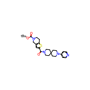 CC(C)(C)OC(=O)N1CCc2sc(C(=O)N3CCC4(CC3)CCN(c3ccncc3)CC4)cc2C1